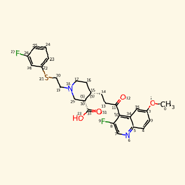 COc1ccc2ncc(F)c(C(=O)CC[C@H]3CCN(CCSc4cccc(F)c4)C[C@H]3C(=O)O)c2c1